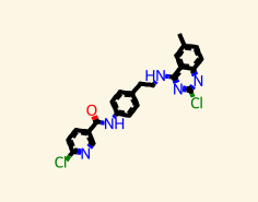 Cc1ccc2nc(Cl)nc(NCCc3ccc(NC(=O)c4ccc(Cl)nc4)cc3)c2c1